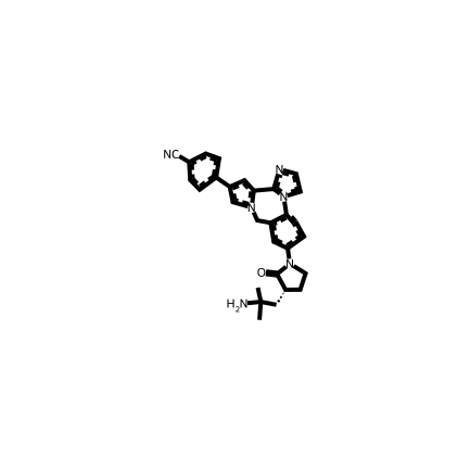 CC(C)(N)C[C@H]1CCN(c2ccc3c(c2)Cn2cc(-c4ccc(C#N)cc4)cc2-c2nccn2-3)C1=O